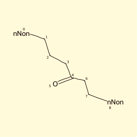 CCCCCCCCCCCCC(=O)CCCCCCCCCCC